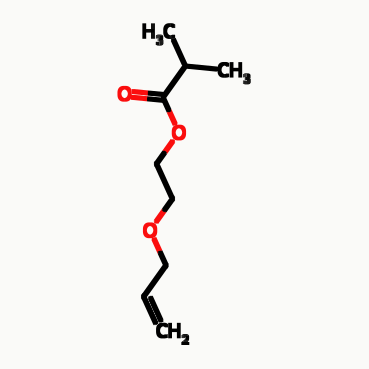 C=CCOCCOC(=O)C(C)C